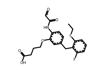 CCSc1cccc(F)c1Cc1ccc(NC(=O)C=O)c(OCCCC(=O)O)c1